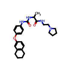 CC(NC(=O)Nc1ccc(Oc2ccc3c(c2)CCCC3)cc1)C(=O)NCCN1CCCC1